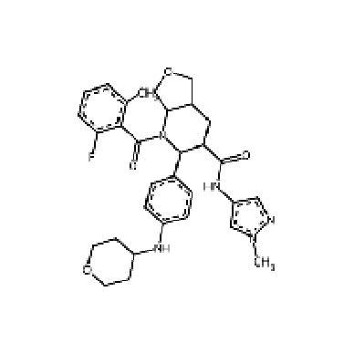 Cc1cccc(F)c1C(=O)N1C2COCC2CC(C(=O)Nc2cnn(C)c2)C1c1ccc(NC2CCOCC2)cc1